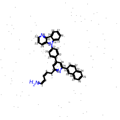 N/C=C\C=C/Cc1cc(-c2ccc(-n3c4ccccc4c4ncccc43)cc2)cc(-c2ccc3ccccc3c2)n1